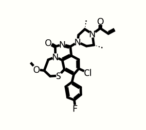 C=CC(=O)N1[C@H](C)CN(c2nc(=O)n3c4c(c(-c5ccc(F)cc5)c(Cl)cc24)SCC(OC)C3)C[C@@H]1C